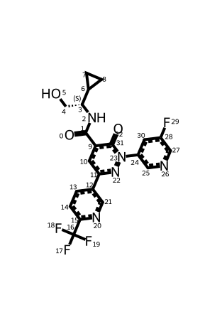 O=C(N[C@H](CO)C1CC1)c1cc(-c2ccc(C(F)(F)F)nc2)nn(-c2cncc(F)c2)c1=O